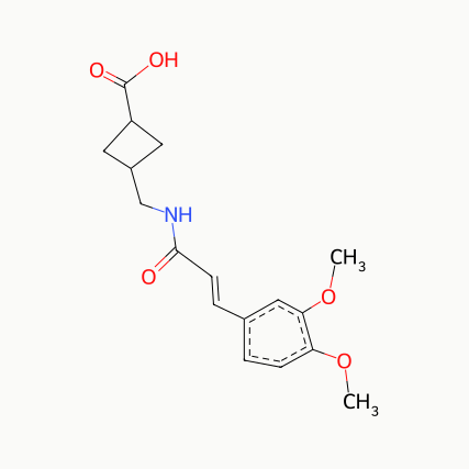 COc1ccc(/C=C/C(=O)NCC2CC(C(=O)O)C2)cc1OC